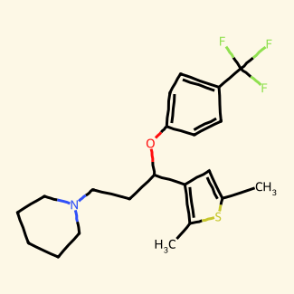 Cc1cc(C(CCN2CCCCC2)Oc2ccc(C(F)(F)F)cc2)c(C)s1